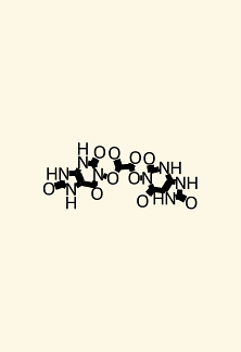 O=C(On1c(=O)[nH]c2[nH]c(=O)[nH]c2c1=O)C(=O)On1c(=O)[nH]c2[nH]c(=O)[nH]c2c1=O